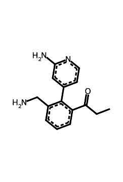 CCC(=O)c1cccc(CN)c1-c1ccnc(N)c1